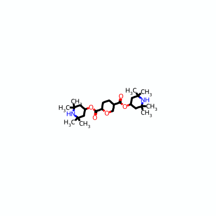 CC1(C)CC(OC(=O)C2CCC(C(=O)OC3CC(C)(C)NC(C)(C)C3)OC2)CC(C)(C)N1